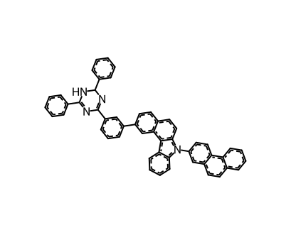 c1ccc(C2=NC(c3cccc(-c4ccc5ccc6c(c5c4)c4ccccc4n6-c4ccc5c(ccc6ccccc65)c4)c3)=NC(c3ccccc3)N2)cc1